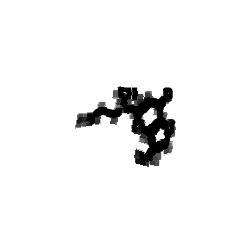 CN(CCS)c1cc(=O)c2occ(Br)c2o1